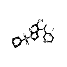 C[C@@H]1CCNCC1N(C)c1c(C#N)cnc2c1ccn2S(=O)(=O)c1ccccc1